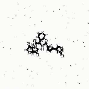 CCc1cc(-c2ccc(C(=O)NC(C(=O)N3C[C@H](Cl)[C@H]4OCC(=O)[C@H]43)C3CCCCC3)s2)cnn1